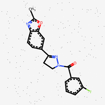 Cc1nc2ccc(C3=NN(C(=O)c4cccc(F)c4)CC3)cc2o1